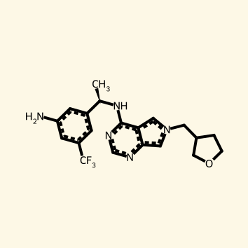 C[C@@H](Nc1ncnc2cn(CC3CCOC3)cc12)c1cc(N)cc(C(F)(F)F)c1